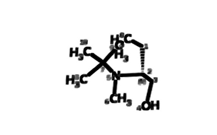 CC[C@H](CO)N(C)C(C)(C)C